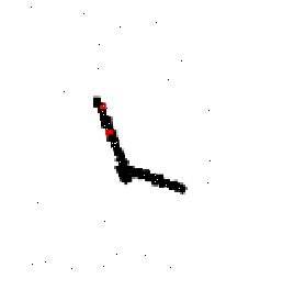 CCCCCCCCCCCCCCCCCCCN1C=CN(C(C)C)C1CCCCCCCCCCCCCCCC